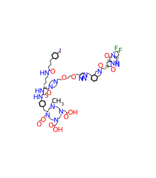 CCN1CCN(CC(=O)O)CCN(CC(=O)O)CCN(COC=O)C(Cc2ccc(NC(=S)N[C@H](CCCCNC(=O)CCCc3ccc(I)cc3)C(=O)N3CCN(CCOCCOCc4cn(Cc5cccc6c5CN(C(=O)C[C@@H]5C[C@@H](C(=O)N7CC(F)(F)C[C@H]7C#N)NC5=O)C6)nn4)CC3)cc2)C1